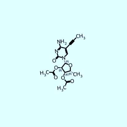 CC#Cc1cn([C@@H]2O[C@H](C)[C@@H](OC(C)=O)[C@H]2OC(C)=O)c(=O)nc1N